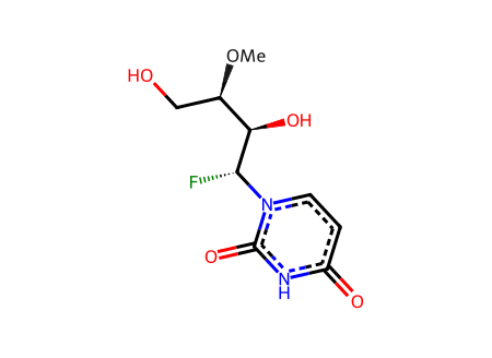 CO[C@H](CO)[C@@H](O)[C@@H](F)n1ccc(=O)[nH]c1=O